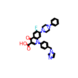 O=C(O)c1cn(-c2ccc(Cn3ccnc3)cc2)c2cc(N3CCN(c4ccccc4)CC3)c(F)cc2c1=O